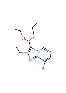 CCCC(OCC)c1c(CC)nc2c(Br)cncn12